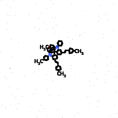 Cc1ccc(C=Cc2ccc(C3(c4ccc(C=Cc5ccc(C)cc5)cc4N(c4ccccc4)c4ccc(C)cc4)CCCCC3)c(N(c3ccccc3)c3ccc(C)cc3)c2)cc1